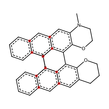 CN1CCOc2c1ccc(P(c1ccccc1)c1ccccc1)c2-c1c(P(c2ccccc2)c2ccccc2)ccc2c1OCCC2